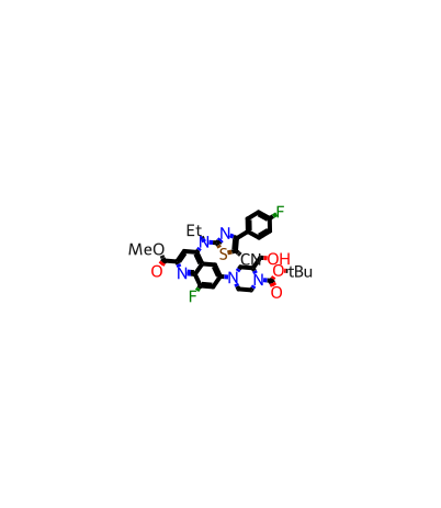 CCN(c1nc(-c2ccc(F)cc2)c(C#N)s1)c1cc(C(=O)OC)nc2c(F)cc(N3CCN(C(=O)OC(C)(C)C)C(CO)C3)cc12